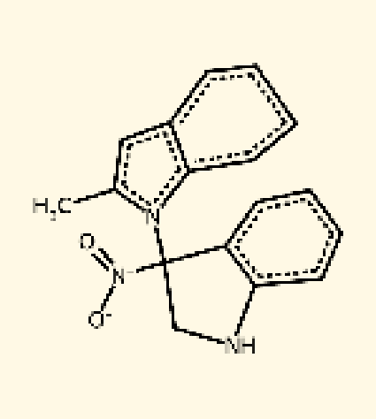 Cc1cc2ccccc2n1C1([N+](=O)[O-])CNc2ccccc21